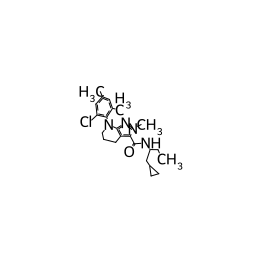 CCC(CC1CC1)NC(=O)c1c2c(nn1C)N(c1c(C)cc(C)cc1Cl)CCC2